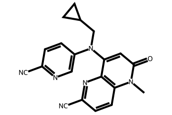 Cn1c(=O)cc(N(CC2CC2)c2ccc(C#N)nc2)c2nc(C#N)ccc21